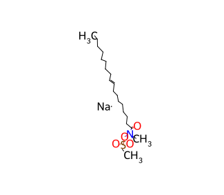 CCCCCCCCC=CCCCCCCCC(=O)N(C)OS(=O)(=O)CC.[Na]